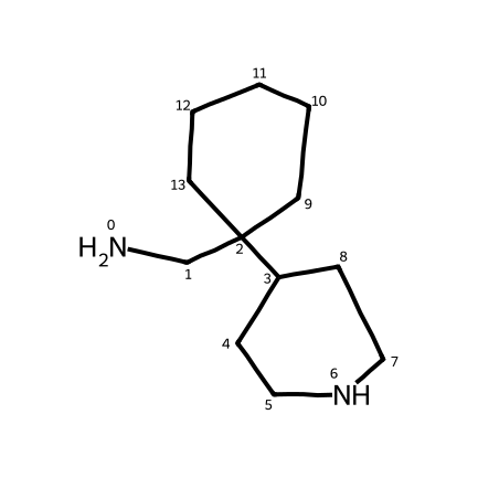 NCC1(C2CCNCC2)CCCCC1